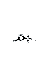 CS(=O)(=O)c1nnc(Cl)s1